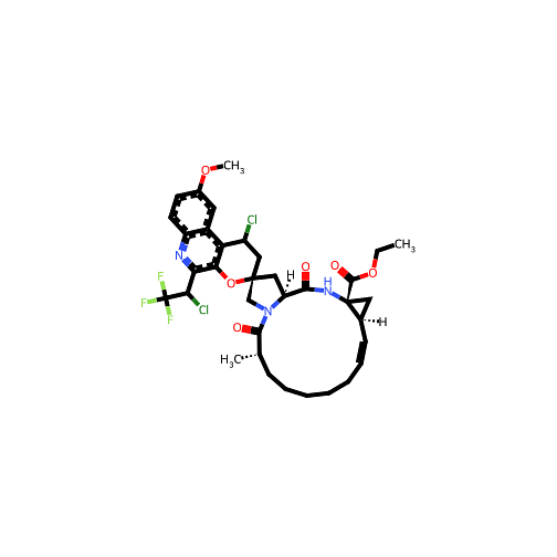 CCOC(=O)[C@@]12C[C@H]1/C=C\CCCCC[C@H](C)C(=O)N1C[C@@]3(CC(Cl)c4c(c(C(Cl)C(F)(F)F)nc5ccc(OC)cc45)O3)C[C@H]1C(=O)N2